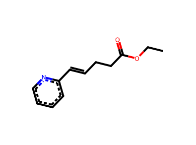 CCOC(=O)CCC=Cc1ccccn1